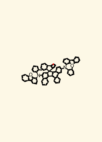 Cc1ccccc1N(c1ccc2c3c(c4ccccc4c2c1)-c1c(cc(N(c2ccccc2C)c2cccc4c2oc2ccccc24)c2ccccc12)C31c2ccccc2-c2ccccc21)c1cccc2c1oc1ccccc12